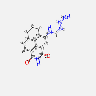 N=N/N=C\Nc1cc2c3c(ccc4c3c1CCC4)C(=O)NC2=O